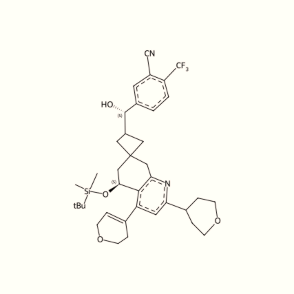 CC(C)(C)[Si](C)(C)O[C@H]1CC2(Cc3nc(C4CCOCC4)cc(C4=CCOCC4)c31)CC([C@H](O)c1ccc(C(F)(F)F)c(C#N)c1)C2